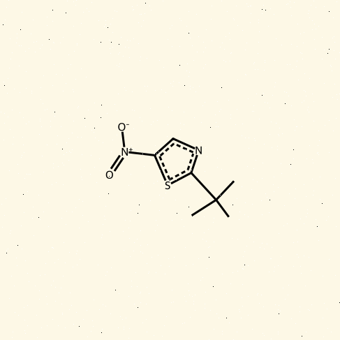 CC(C)(C)c1ncc([N+](=O)[O-])s1